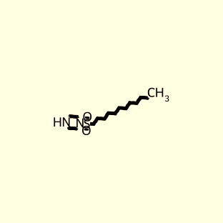 CCCCCCCCCCCCS(=O)(=O)N1CCNCC1